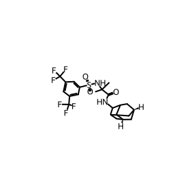 CC(C)(NS(=O)(=O)c1cc(C(F)(F)F)cc(C(F)(F)F)c1)C(=O)NC1C2C[C@H]3CC1C[C@H](C2)C3